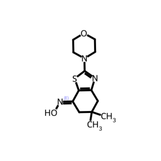 CC1(C)C/C(=N\O)c2sc(N3CCOCC3)nc2C1